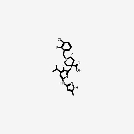 Cc1cc(Nc2cc(C(C)C)c(F)c(C[C@@]3(C(=O)O)CCN(Cc4cccc(Cl)c4F)[C@H](C)C3)n2)n[nH]1